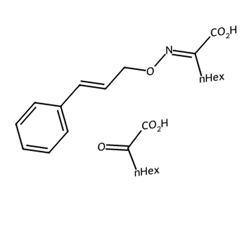 CCCCCC/C(=N\OC/C=C/c1ccccc1)C(=O)O.CCCCCCC(=O)C(=O)O